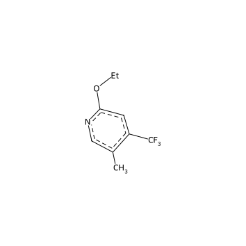 CCOc1cc(C(F)(F)F)c(C)cn1